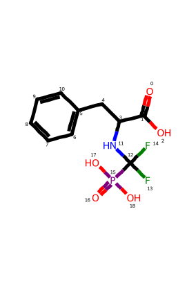 O=C(O)C(Cc1ccccc1)NC(F)(F)P(=O)(O)O